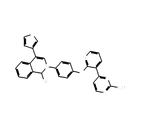 CNc1nccc(-c2cccnc2Oc2ccc(N3C=C(c4ccsc4)c4ccccc4C3N)cc2)n1